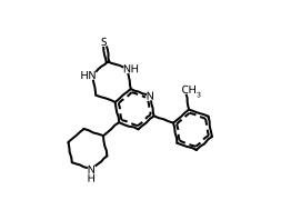 Cc1ccccc1-c1cc(C2CCCNC2)c2c(n1)NC(=S)NC2